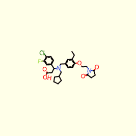 CCc1cc(CN(CC2CCCC2)C(CC(=O)O)c2ccc(Cl)c(F)c2)ccc1OCCN1C(=O)CCC1=O